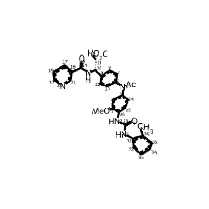 COc1cc(N(C(C)=O)c2ccc([C@@H](CC(=O)O)NC(=O)c3cccnc3)cc2)ccc1NC(=O)Nc1ccccc1C